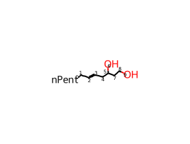 CCCCCCC=CCC(O)CCO